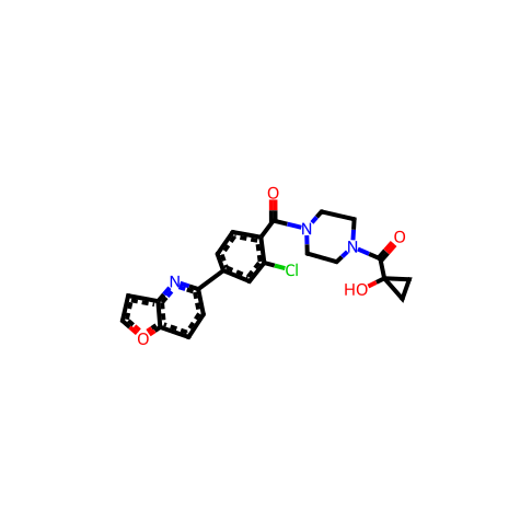 O=C(c1ccc(-c2ccc3occc3n2)cc1Cl)N1CCN(C(=O)C2(O)CC2)CC1